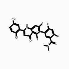 CN(C)C(=O)c1cc(-c2c(F)cc3[nH]c(-c4cc(C#N)ccc4Cl)cc(=O)c3c2F)c(F)cc1F